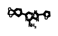 Nc1nc(-c2ccc3c(c2)OCO3)cn2nc(-c3ccco3)nc12